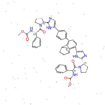 COC(=O)N[C@H](C(=O)N1CCC[C@H]1c1ncc(-c2ccc(-c3ccc(-c4cnc([C@@H]5CCCN5C(=O)[C@@H](NC(=O)OC)c5ccccc5)[nH]4)c4c3C3CCC4CC3)cc2)[nH]1)c1ccccc1